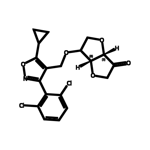 O=C1CO[C@@H]2C(OCc3c(-c4c(Cl)cccc4Cl)noc3C3CC3)CO[C@H]12